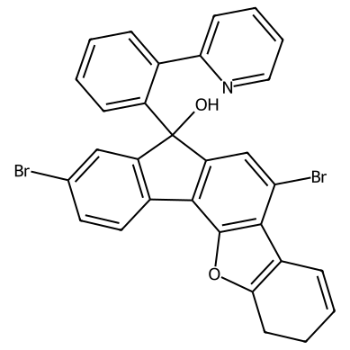 OC1(c2ccccc2-c2ccccn2)c2cc(Br)ccc2-c2c1cc(Br)c1c3c(oc21)CCC=C3